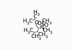 CC(C)OCC(C(C)C(C)C)N(C)S(C)(=O)=O